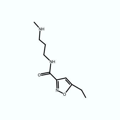 CCc1cc(C(=O)NCCCNC)no1